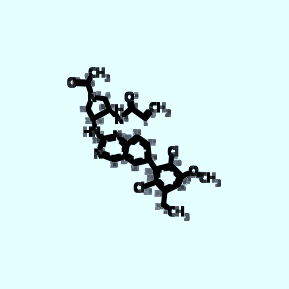 C=CC(=O)N[C@@H]1CN(C(C)=O)C[C@@H]1Nc1ncc2cc(-c3c(Cl)c(CC)cc(OC)c3Cl)ccc2n1